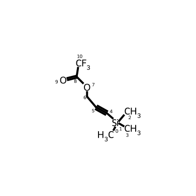 C[Si](C)(C)C#CCOC(=O)C(F)(F)F